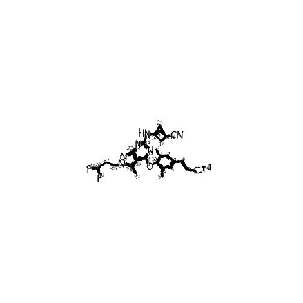 Cc1cc(/C=C/C#N)cc(C)c1Oc1nc(NC23CC(C#N)(C2)C3)nc2nn(CCC(F)F)c(C)c12